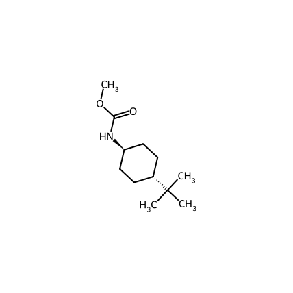 COC(=O)N[C@H]1CC[C@H](C(C)(C)C)CC1